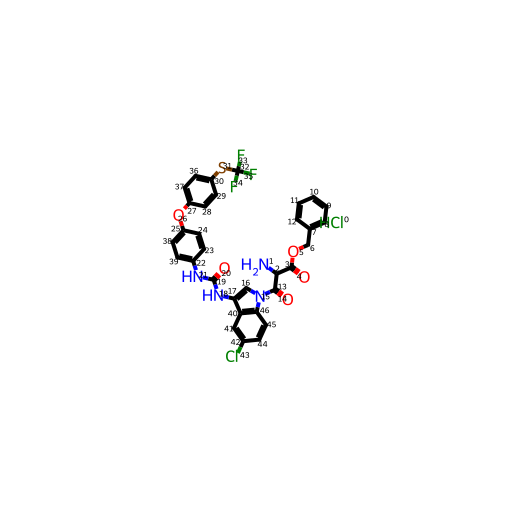 Cl.NC(C(=O)OCc1ccccc1)C(=O)n1cc(NC(=O)Nc2ccc(Oc3ccc(SC(F)(F)F)cc3)cc2)c2cc(Cl)ccc21